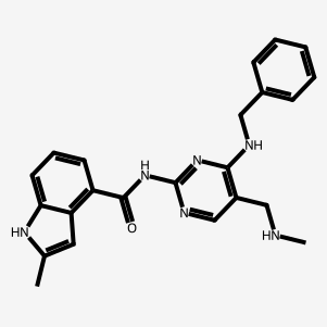 CNCc1cnc(NC(=O)c2cccc3[nH]c(C)cc23)nc1NCc1ccccc1